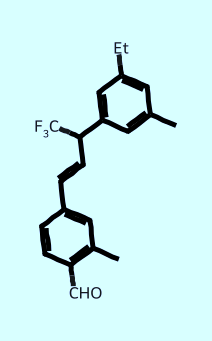 CCc1cc(C)cc(C(/C=C/c2ccc(C=O)c(C)c2)C(F)(F)F)c1